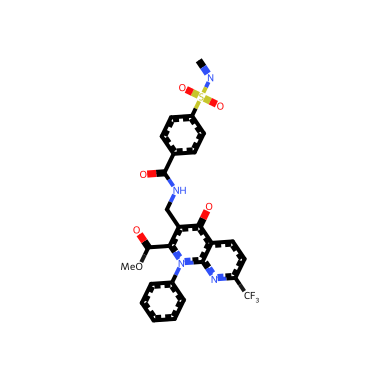 C=NS(=O)(=O)c1ccc(C(=O)NCc2c(C(=O)OC)n(-c3ccccc3)c3nc(C(F)(F)F)ccc3c2=O)cc1